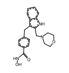 O=C(NO)c1ccc(Cc2c(CN3CCOCC3)[nH]c3ccccc23)cc1